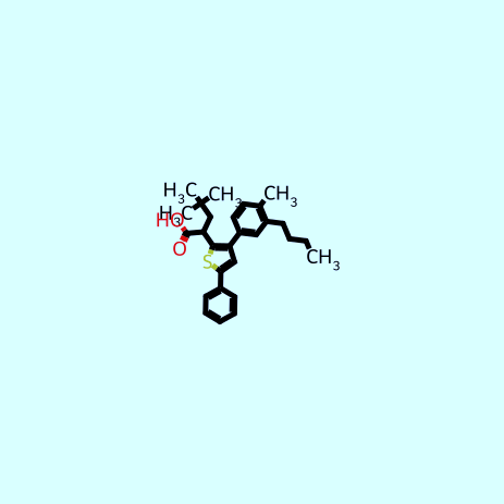 CCCCc1cc(-c2cc(-c3ccccc3)sc2C(CC(C)(C)C)C(=O)O)ccc1C